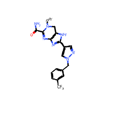 CCCN1Cc2[nH]c(-c3cnn(Cc4cccc(C(F)(F)F)c4)c3)nc2N=C1C(N)=O